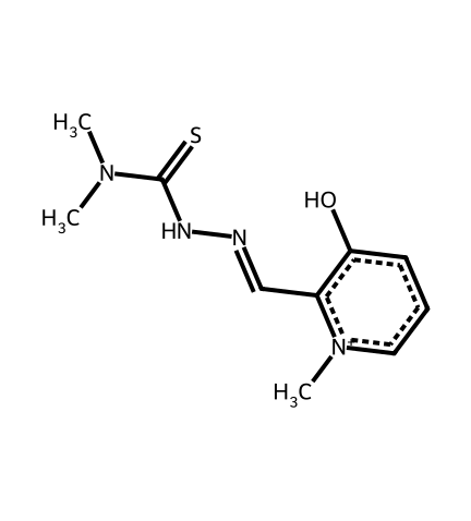 CN(C)C(=S)NN=Cc1c(O)ccc[n+]1C